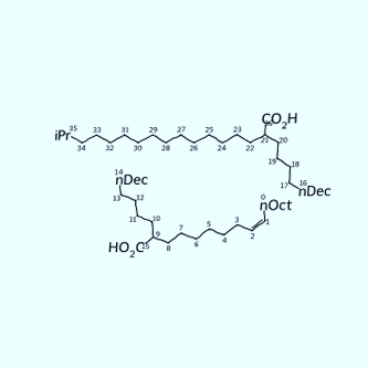 CCCCCCCC/C=C\CCCCCCC(CCCCCCCCCCCCCC)C(=O)O.CCCCCCCCCCCCCCC(CCCCCCCCCCCCCC(C)C)C(=O)O